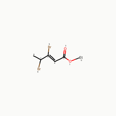 CCOC(=O)C=C(Br)C(C)Br